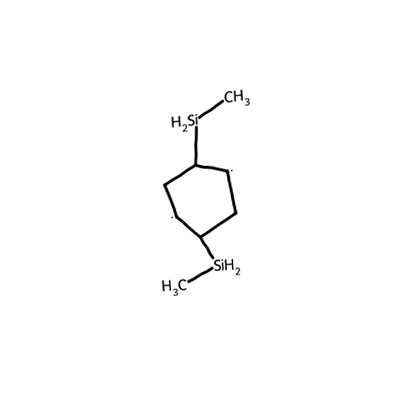 C[SiH2]C1[CH]CC([SiH2]C)[CH]C1